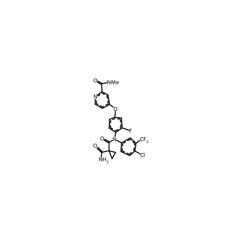 CNC(=O)c1cc(Oc2ccc(N(C(=O)C3(C(N)=O)CC3)c3ccc(Cl)c(C(F)(F)F)c3)c(F)c2)ccn1